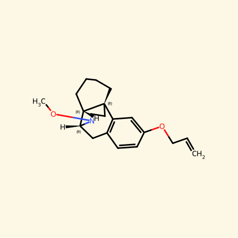 C=CCOc1ccc2c(c1)[C@@]13CCCC[C@H]1[C@@H](C2)N(OC)CC3